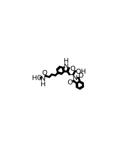 O=C(CCCc1ccc2[nH]cc(C[C@@H](C(=O)O)N3C(=O)c4ccccc4C3=O)c2c1)NO